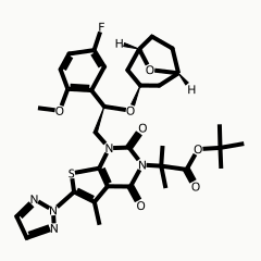 COc1ccc(F)cc1[C@H](Cn1c(=O)n(C(C)(C)C(=O)OC(C)(C)C)c(=O)c2c(C)c(-n3nccn3)sc21)O[C@@H]1C[C@H]2CC[C@@H](C1)O2